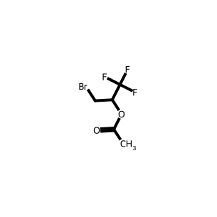 CC(=O)OC(CBr)C(F)(F)F